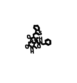 CC1NC(=O)CN2C(=O)C(Cc3csc4ccccc34)N(C)N(C(=O)NCc3ccccc3)C12